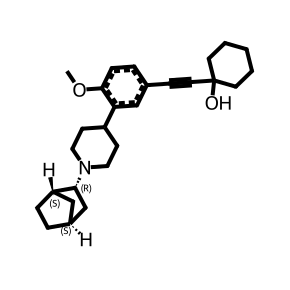 COc1ccc(C#CC2(O)CCCCC2)cc1C1CCN([C@@H]2C[C@H]3CC[C@H]2C3)CC1